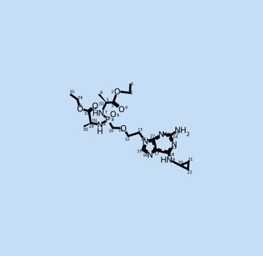 CCOC(=O)[C@H](C)NP(=O)(COCCn1cnc2c(NC3CC3)nc(N)nc21)N[C@@H](C)C(=O)OCC